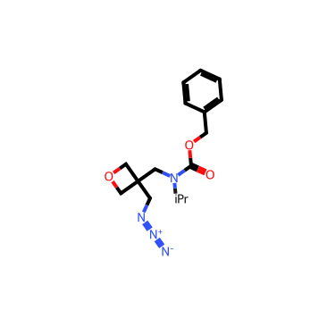 CC(C)N(CC1(CN=[N+]=[N-])COC1)C(=O)OCc1ccccc1